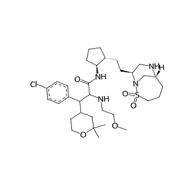 COCCNC(C(=O)N[C@H]1CCC[C@@H]1CC[C@H]1CN[C@@H]2CCCS(=O)(=O)N1C2)C(c1ccc(Cl)cc1)C1CCOC(C)(C)C1